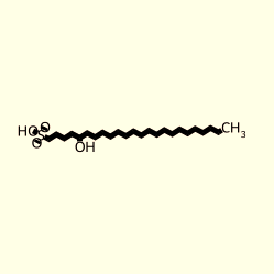 CCCCCCCCCCCCCCCCCCCC(O)CCCCS(=O)(=O)O